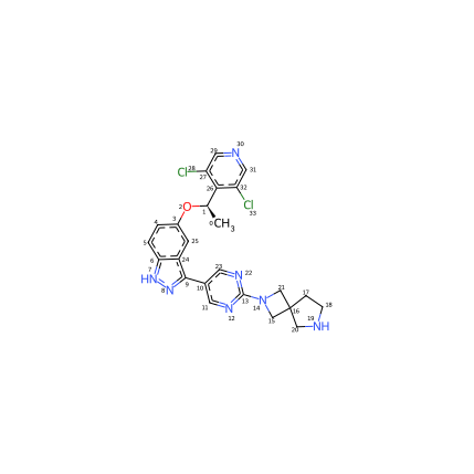 C[C@@H](Oc1ccc2[nH]nc(-c3cnc(N4CC5(CCNC5)C4)nc3)c2c1)c1c(Cl)cncc1Cl